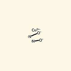 [Cu+2].[N][O-].[N][O-]